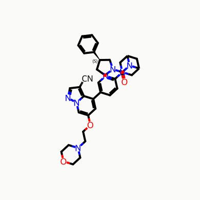 N#Cc1cnn2cc(OCCN3CCOCC3)cc(-c3ccc(N4CC5CC(C4)N5C(=O)N4CC[C@@H](c5ccccc5)C4)nc3)c12